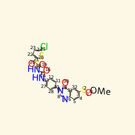 COOSc1ccc2ncn(-c3ccc(NC(=O)NS(=O)(=O)c4ccc(Cl)s4)cc3)c(=O)c2c1